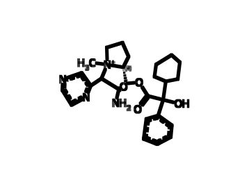 C[N+]1(C(C(N)=O)c2cnccn2)CCC[C@@H]1COC(=O)C(O)(c1ccccc1)C1CCCCC1